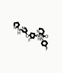 O=C(Nc1ccc(F)cc1)c1cccnc1Nc1ccc(Oc2ccnc(Nc3ccccn3)c2)c(F)c1